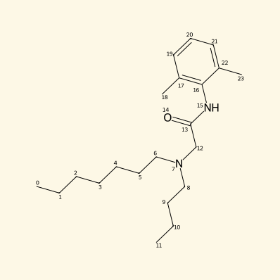 CCCCCCCN(CCCC)CC(=O)Nc1c(C)cccc1C